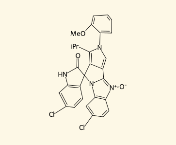 COc1ccccc1-n1cc2c(c1C(C)C)C1(C(=O)Nc3cc(Cl)ccc31)n1c-2[n+]([O-])c2ccc(Cl)cc21